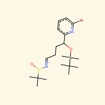 CC(C)(C)[S+]([O-])/N=C/CCC(O[Si](C)(C)C(C)(C)C)c1cccc(Br)n1